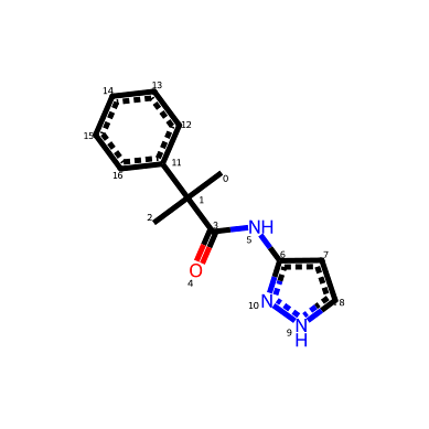 CC(C)(C(=O)Nc1c[c][nH]n1)c1ccccc1